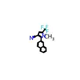 Cn1c(C(F)(F)F)cc(C#N)c1-c1ccc2ccccc2c1